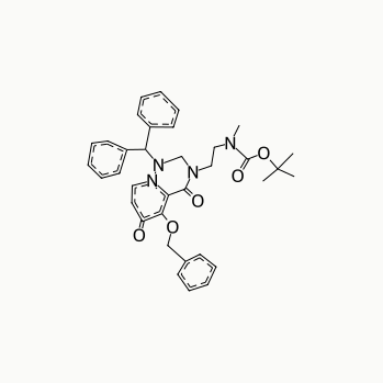 CN(CCN1CN(C(c2ccccc2)c2ccccc2)n2ccc(=O)c(OCc3ccccc3)c2C1=O)C(=O)OC(C)(C)C